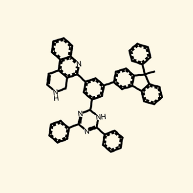 CC1(c2ccccc2)c2ccccc2-c2cc(-c3cc(-c4nc5ccccc5c5c4CNC=C5)cc(C4N=C(c5ccccc5)N=C(c5ccccc5)N4)c3)ccc21